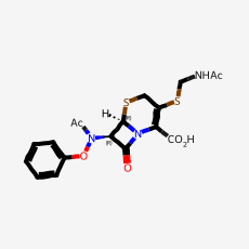 CC(=O)NCSC1=C(C(=O)O)N2C(=O)[C@@H](N(Oc3ccccc3)C(C)=O)[C@H]2SC1